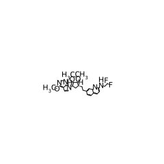 COc1ncnc2c1ccn2[C@@H]1C[C@H](CCc2ccc3ccc(NCC(F)F)nc3c2)[C@H]2OC(C)(C)O[C@H]21